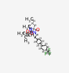 CCCC[C@@H](C(=O)NCCc1ccc(-c2ccc(C(F)(F)F)cc2)cc1)N(C)C(=O)OC(C)(C)C